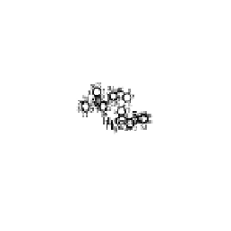 Cc1ccc(-c2cccc3c2-c2cc(-c4cccc5c4c4ccccc4n5-c4ccccc4)ccc2C3)cc1-c1c(C)ccc2c1sc1ccccc12